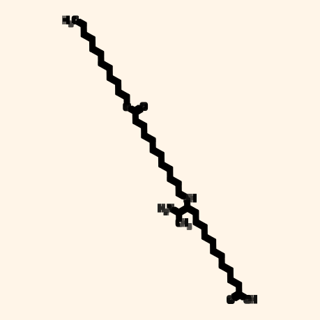 CCCCCCCCCCCCOC(=O)CCCCCCCCCCCNC(CCCCCCCCCCCC(=O)O)C(C)N